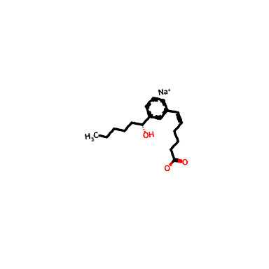 CCCCC[C@@H](O)c1cccc(/C=C\CCCC(=O)[O-])c1.[Na+]